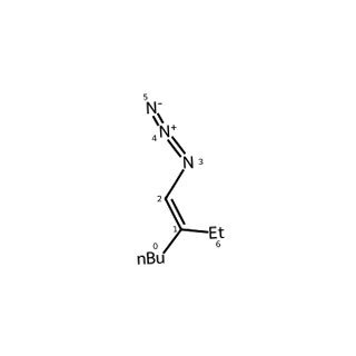 CCCCC(=CN=[N+]=[N-])CC